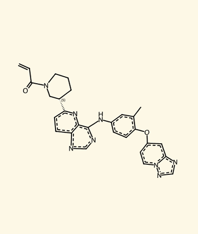 C=CC(=O)N1CCC[C@H](c2ccc3ncnc(Nc4ccc(Oc5ccn6ncnc6c5)c(C)c4)c3n2)C1